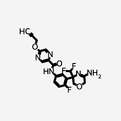 C#CCOc1cnc(C(=O)Nc2ccc(F)c(C3(C(F)F)COCC(N)=N3)c2)cn1